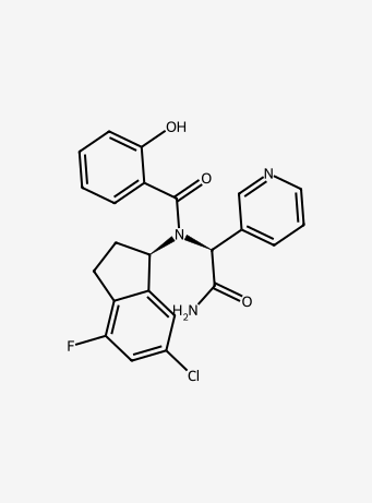 NC(=O)[C@H](c1cccnc1)N(C(=O)c1ccccc1O)[C@@H]1CCc2c(F)cc(Cl)cc21